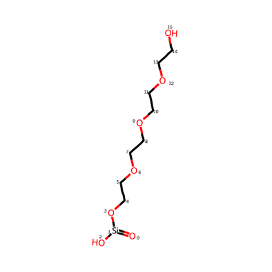 O=[Si](O)OCCOCCOCCOCCO